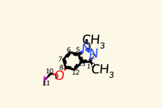 Cc1nn(C)c2ccc(OCI)cc12